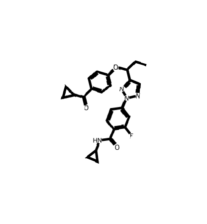 CCC(Oc1ccc(C(=O)C2CC2)cc1)c1cnn(-c2ccc(C(=O)NC3CC3)c(F)c2)n1